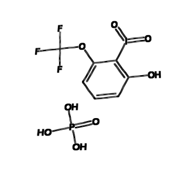 O=I(=O)c1c(O)cccc1OC(F)(F)F.O=P(O)(O)O